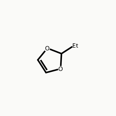 CCC1OC=CO1